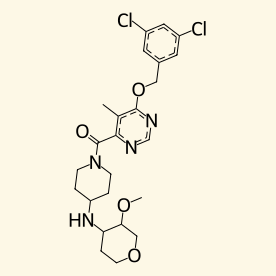 COC1COCCC1NC1CCN(C(=O)c2ncnc(OCc3cc(Cl)cc(Cl)c3)c2C)CC1